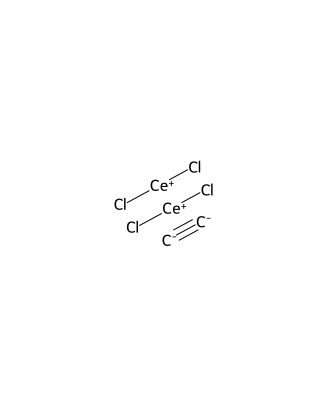 [C-]#[C-].[Cl][Ce+][Cl].[Cl][Ce+][Cl]